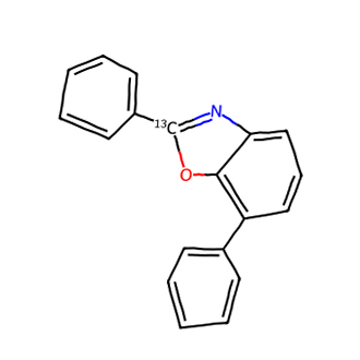 c1ccc(-c2cccc3n[13c](-c4ccccc4)oc23)cc1